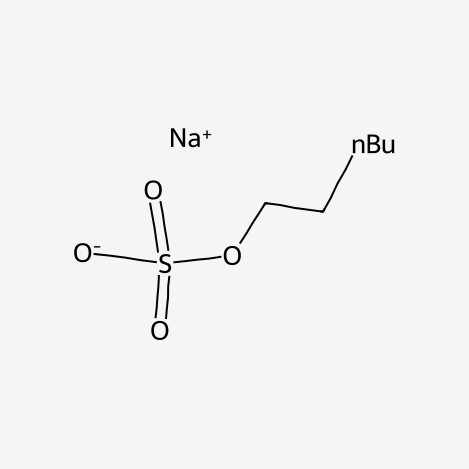 CCCCCCOS(=O)(=O)[O-].[Na+]